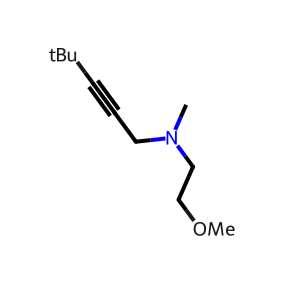 COCCN(C)CC#CC(C)(C)C